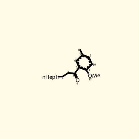 CCCCCCCCCC(=O)c1cc(C)ccc1OC